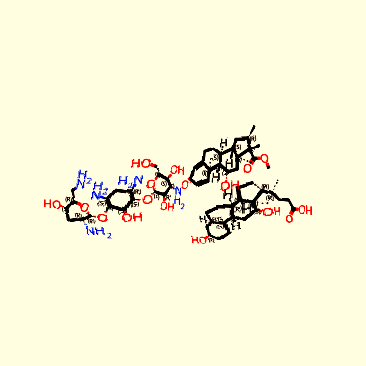 COC(=O)[C@@]1(C)[C@H](C)C[C@H]2[C@@H]3CCC4=CC(=O)C=C[C@]4(C)[C@H]3[C@@H](O)C[C@@]21C.C[C@H](CCC(=O)O)[C@H]1CC[C@H]2[C@@H]3CC[C@@H]4C[C@H](O)CC[C@]4(C)[C@H]3C[C@H](O)[C@]12C.NC[C@H]1O[C@H](O[C@H]2[C@H](O)[C@@H](O[C@H]3O[C@H](CO)[C@@H](O)[C@H](N)[C@H]3O)[C@H](N)C[C@@H]2N)[C@H](N)C[C@@H]1O